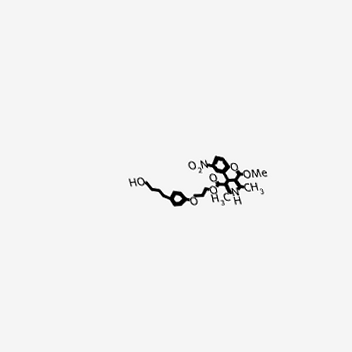 COC(=O)C1=C(C)NC(C)=C(C(=O)OCCCOc2ccc(CCCCO)cc2)C1c1cccc([N+](=O)[O-])c1